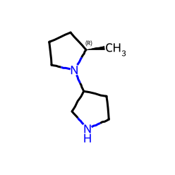 C[C@@H]1CCCN1C1CCNC1